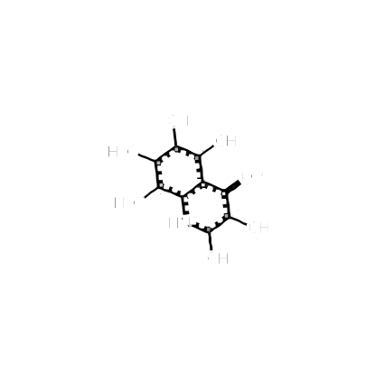 Cc1[nH]c2c(C)c(C)c(C)c(C)c2c(=O)c1C